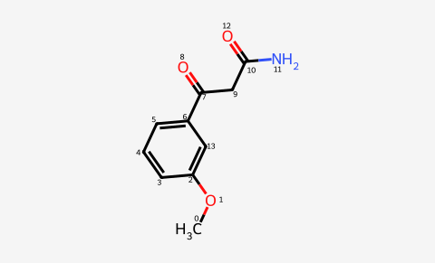 COc1cccc(C(=O)CC(N)=O)c1